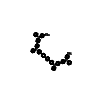 CC(C)(C)c1ccc(N(c2ccccc2)c2ccc(-c3ccc(N(c4ccccc4)c4ccc(-c5ccc(-c6ccc(-c7ccc(N(c8ccccc8)c8ccc(-c9ccc(N(c%10ccccc%10)c%10ccc(C(C)(C)C)cc%10)cc9)cc8)cc7)cc6)cc5)cc4)cc3)cc2)cc1